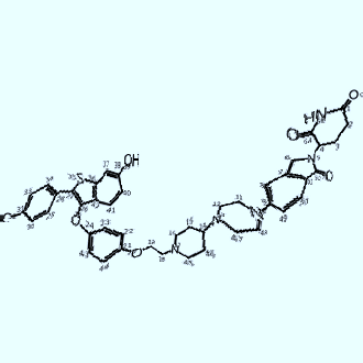 O=C1CCC(N2Cc3cc(N4CCN(C5CCN(CCOc6ccc(Oc7c(-c8ccc(C(F)(F)F)cc8)sc8cc(O)ccc78)cc6)CC5)CC4)ccc3C2=O)C(=O)N1